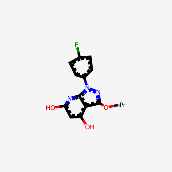 CC(C)Oc1nn(-c2ccc(F)cc2)c2nc(O)cc(O)c12